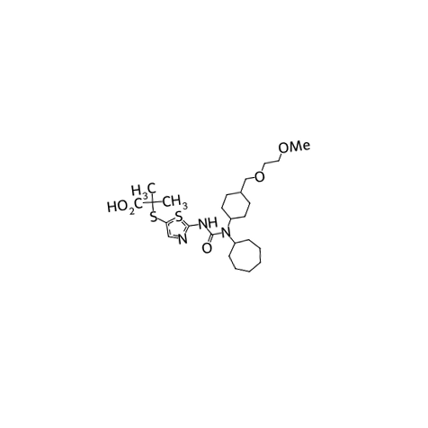 COCCOCC1CCC(N(C(=O)Nc2ncc(SC(C)(C)C(=O)O)s2)C2CCCCCC2)CC1